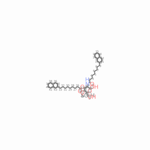 O=C(CCCCCCCCc1ccc2ccccc2c1)N[C@H]1[C@@H](OC(=O)CCCCCCCCc2ccc3ccccc3c2)[C@H](OS(=O)(=O)O)[C@@H](CO)O[C@@H]1O